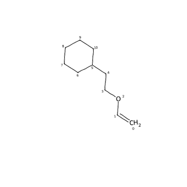 C=COCCC1CCCCC1